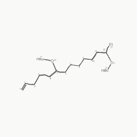 C=CCCCC(CCCCCCC(CC)OCCCC)OCCCC